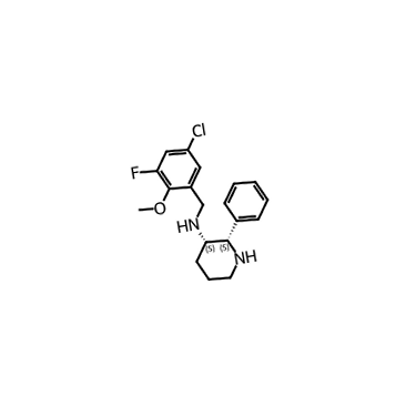 COc1c(F)cc(Cl)cc1CN[C@H]1CCCN[C@H]1c1ccccc1